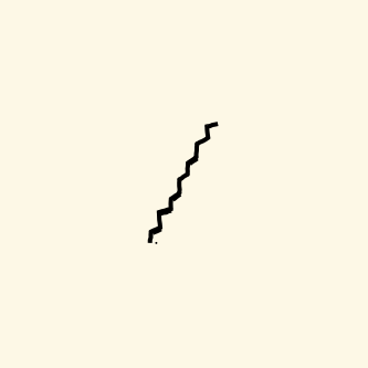 [CH2]C=CC=CC=CCCC=CCCCC